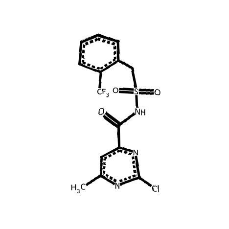 Cc1cc(C(=O)NS(=O)(=O)Cc2ccccc2C(F)(F)F)nc(Cl)n1